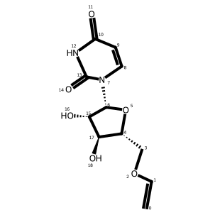 C=COC[C@H]1O[C@@H](n2ccc(=O)[nH]c2=O)[C@@H](O)[C@@H]1O